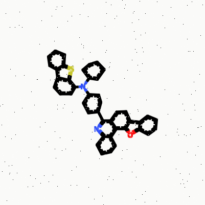 c1ccc(N(c2ccc(-c3nc4ccccc4c4c3ccc3c5ccccc5oc34)cc2)c2cccc3c2sc2ccccc23)cc1